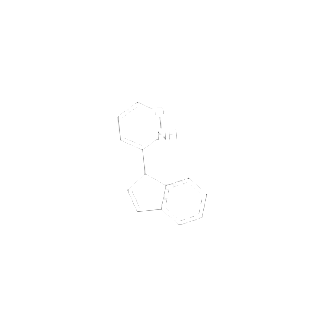 C1=CONC(C2C=Cc3ccccc32)=C1